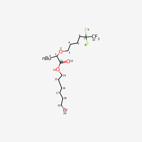 CCCCC(OCCCCC(F)(F)C(F)(F)F)C(=O)OCCCCCCBr